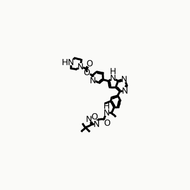 Cc1cc(-c2ncnc3[nH]c(-c4ccc(OC(=O)N5CCNCC5)nc4)cc23)ccc1C(C)NC(=O)c1nc(C(C)(C)C)no1